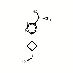 C[C@H](O)c1nnc([C@H]2C[C@@H](CC(C)(C)C)C2)s1